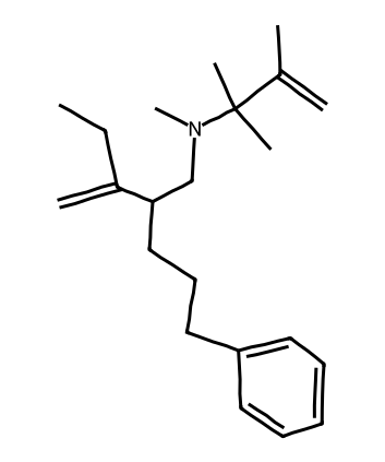 C=C(CC)C(CCCc1ccccc1)CN(C)C(C)(C)C(=C)C